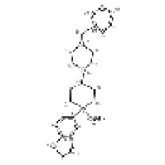 COC1(c2ccc3c(c2)OCO3)CCC(N2CCN(Cc3ccccc3)CC2)CC1